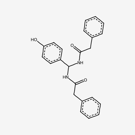 O=C(Cc1ccccc1)NC(NC(=O)Cc1ccccc1)c1ccc(O)cc1